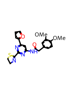 COc1ccc(CC(=O)Nc2cc(-c3ccco3)nc(C3=NCCS3)n2)cc1OC